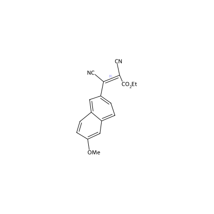 CCOC(=O)/C(C#N)=C(/C#N)c1ccc2cc(OC)ccc2c1